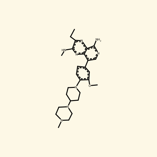 CCc1nc2c(N)ncc(-c3ccc(N4CCC(N5CCN(C)CC5)CC4)c(OC)c3)c2nc1NC